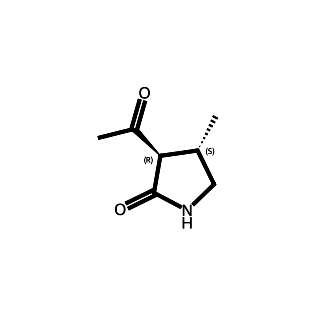 CC(=O)[C@@H]1C(=O)NC[C@H]1C